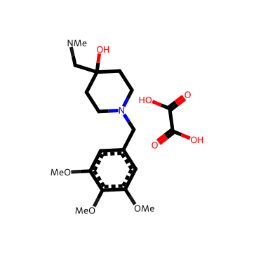 CNCC1(O)CCN(Cc2cc(OC)c(OC)c(OC)c2)CC1.O=C(O)C(=O)O